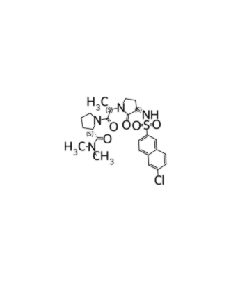 C[C@@H](C(=O)N1CCC[C@H]1C(=O)N(C)C)N1CC[C@H](NS(=O)(=O)c2ccc3cc(Cl)ccc3c2)C1=O